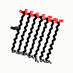 CCCCCCCCCCCCCCCCCC(=O)O.CCCCCCCCCCCCCCCCCC(=O)O.CCCCCCCCCCCCCCCCCC(=O)O.CCCCCCCCCCCCCCCCCC(=O)[O-].CCCCCCCCCCCCCCCCCC(=O)[O-].CCCCCCCCCCCCCCCCCC(=O)[O-].CCCCCCCCCCCCCCCCCC(=O)[O-].[Mg+2].[Mg+2]